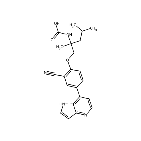 CC(C)CC(C)(COc1ccc(-c2ccnc3cc[nH]c23)cc1C#N)NC(=O)O